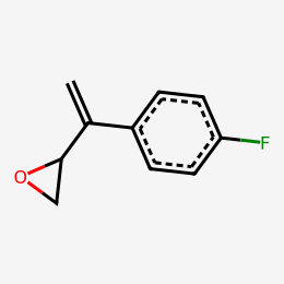 C=C(c1ccc(F)cc1)C1CO1